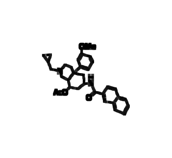 COc1cccc(C23CCN(CC4CC4)CC2C(OC(C)=O)CC(NC(=O)c2ccc4ccccc4c2)C3)c1